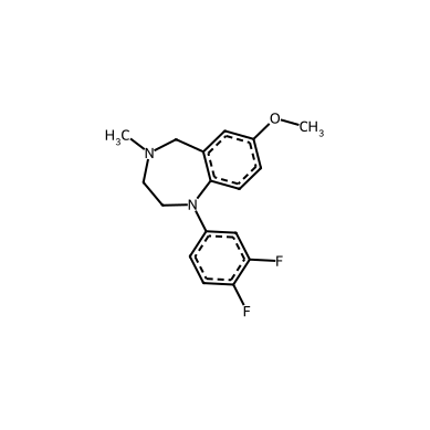 COc1ccc2c(c1)CN(C)CCN2c1ccc(F)c(F)c1